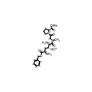 COC(=O)[C@@H]1CCCN1C(=O)CN(C)C(=O)[C@@H](N)CCC(N)C(=O)OCc1ccccc1.Cl